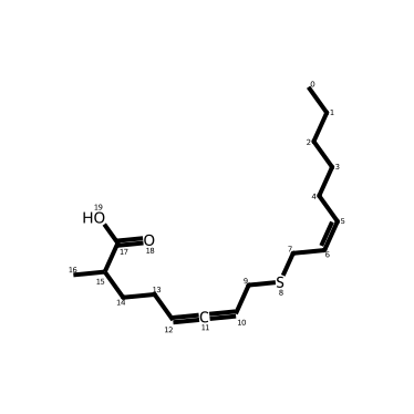 CCCCC/C=C\CSCC=C=CCCC(C)C(=O)O